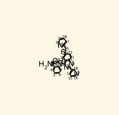 NC(O)c1ccccc1Nc1nc(-c2cccnc2)nc2ccc(OCc3ccccn3)cc12